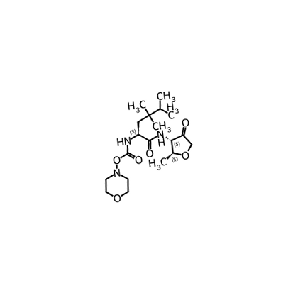 CC(C)C(C)(C)C[C@H](NC(=O)ON1CCOCC1)C(=O)N[C@@H]1C(=O)CO[C@H]1C